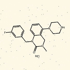 CN1Cc2c(N3CCNCC3)cccc2N(Cc2cccc(F)c2)C1=O.Cl